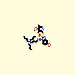 CCCC[N+](CCCC)(CCCC)CCCC.COc1ccc2[nH]c([S+]([O-])Cc3ncc(C)c(OC)c3C)nc2c1